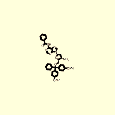 COc1ccc(C(OC[C@H]2O[C@@H](n3cnc4c(NC(=O)c5ccccc5)ncnc43)C[C@@H]2N)(c2ccccc2)c2ccc(OC)cc2)cc1